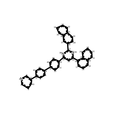 c1cncc(-c2ccc(-c3ccc(-c4cc(-c5cccc6ccccc56)nc(-c5ccc6ccccc6c5)n4)cc3)cc2)c1